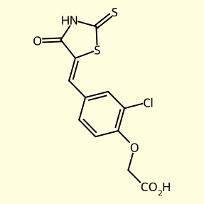 O=C(O)COc1ccc(/C=C2\SC(=S)NC2=O)cc1Cl